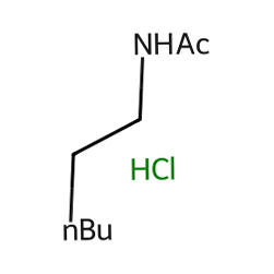 CCCCCCNC(C)=O.Cl